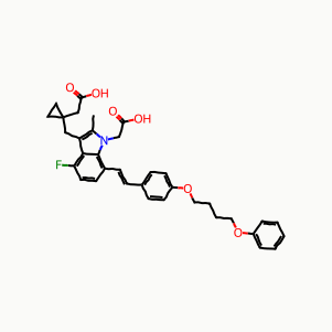 Cc1c(CC2(CC(=O)O)CC2)c2c(F)ccc(C=Cc3ccc(OCCCCOc4ccccc4)cc3)c2n1CC(=O)O